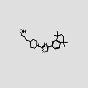 CC1(C)CCC(C)(C)c2cc(-c3csc(N4CCC(CCCO)CC4)n3)ccc21